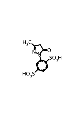 CC1=NN(c2cc(S(=O)(=O)O)ccc2S(=O)(=O)O)C(=O)C1